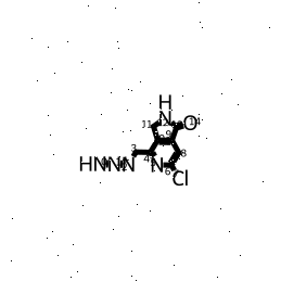 N=[N+]=NCc1nc(Cl)cc2c1CNC2=O